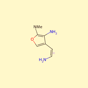 CNc1occ(/C=C\N)c1N